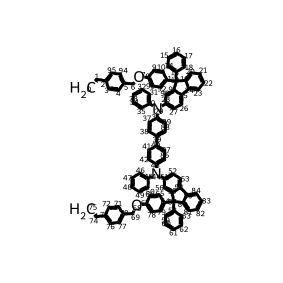 C=Cc1ccc(COc2ccc(C3(c4ccccc4)c4ccccc4-c4ccc(N(c5ccccc5)c5ccc(-c6ccc(N(c7ccccc7)c7ccc8c(c7)C(c7ccccc7)(c7ccc(OCc9ccc(C=C)cc9)cc7)c7ccccc7-8)cc6)cc5)cc43)cc2)cc1